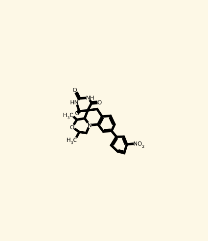 CC1CN2c3cc(-c4cccc([N+](=O)[O-])c4)ccc3CC3(C(=O)NC(=O)NC3=O)C2C(C)O1